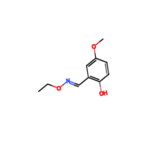 CCON=Cc1cc(OC)ccc1O